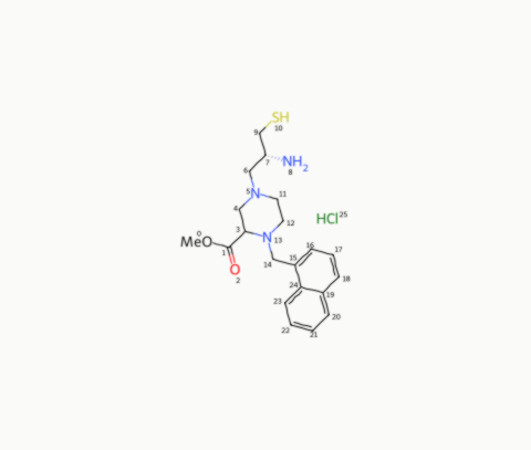 COC(=O)C1CN(C[C@@H](N)CS)CCN1Cc1cccc2ccccc12.Cl